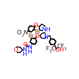 O=C(Nc1ccc(OC2CCN(Cc3ccc(C(O)(C(F)(F)F)C(F)(F)F)cc3)CC2)c(Br)c1)NC1CCOCC1.O=[N+]([O-])c1ccc(OC2CCNCC2)c(Br)c1